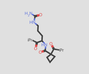 CC(C)C(=O)C(CCCNC(N)=O)NC(=O)C1(C(=O)C(C)C)CCC1